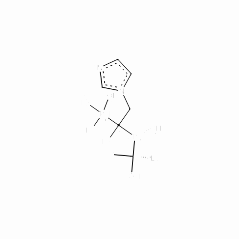 CC[C@@](C)(O)[P@@](O)C(O)(Cn1ccnc1)[PH](O)(O)O